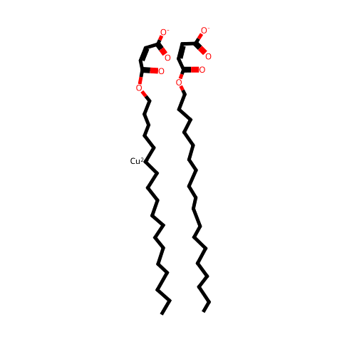 CCCCCCCCCCCCCCCCCCOC(=O)/C=C\C(=O)[O-].CCCCCCCCCCCCCCCCCCOC(=O)/C=C\C(=O)[O-].[Cu+2]